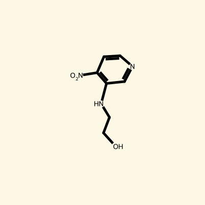 O=[N+]([O-])c1ccncc1NCCO